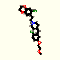 COCCOc1ccc(Cl)c(CC2CCN(CCc3cc4c(cc3Cl)OCCO4)CC2)c1